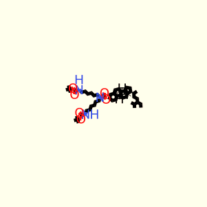 CCC(CCC(C)[C@H]1CC[C@H]2[C@@H]3CC=C4C[C@@H](OC(=O)N(CCCCCCNC(=O)OC(C)(C)C)CCCCCCNC(=O)OC(C)(C)C)CC[C@]4(C)[C@H]3CC[C@]12C)C(C)C